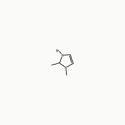 CC1N(C)C=CN1Br